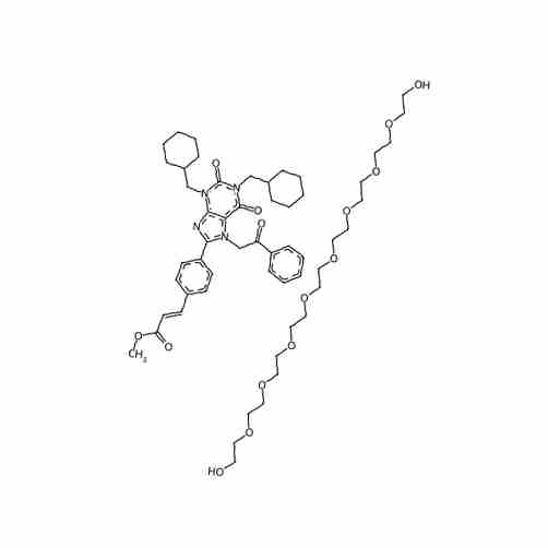 COC(=O)/C=C/c1ccc(-c2nc3c(c(=O)n(CC4CCCCC4)c(=O)n3CC3CCCCC3)n2CC(=O)c2ccccc2)cc1.OCCOCCOCCOCCOCCOCCOCCOCCOCCO